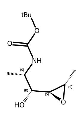 C[C@H](NC(=O)OC(C)(C)C)[C@@H](O)[C@@H]1O[C@H]1C